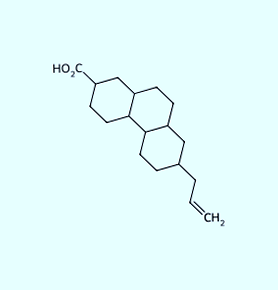 C=CCC1CCC2C(CCC3CC(C(=O)O)CCC32)C1